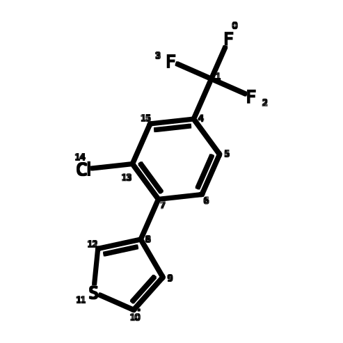 FC(F)(F)c1ccc(-c2c[c]sc2)c(Cl)c1